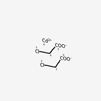 O=C([O-])CCl.O=C([O-])CCl.[Cd+2]